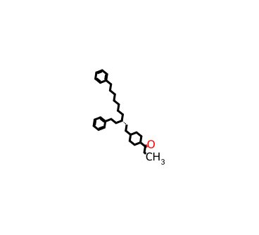 CCC(=O)C1CCC(CC[C@@H](CCCCCCCc2ccccc2)CCc2ccccc2)CC1